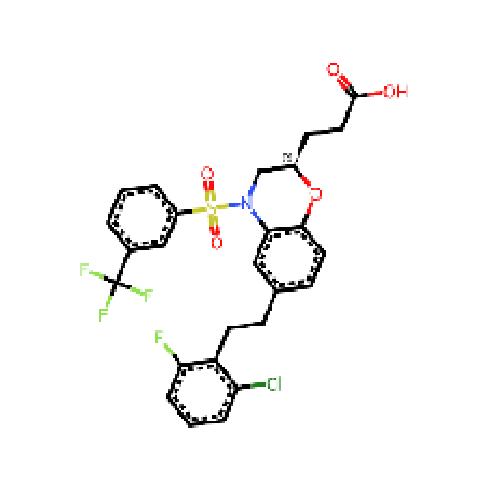 O=C(O)CC[C@@H]1CN(S(=O)(=O)c2cccc(C(F)(F)F)c2)c2cc(CCc3c(F)cccc3Cl)ccc2O1